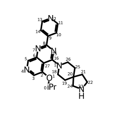 CC(C)Oc1cncc2nc(-c3ccncc3)nc(N3CCC4(CCNC4)CC3)c12